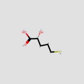 O=C(O)[C@H](O)CCCS